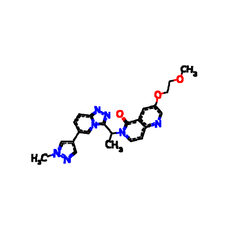 COCCOc1cnc2ccn(C(C)c3nnc4ccc(-c5cnn(C)c5)cn34)c(=O)c2c1